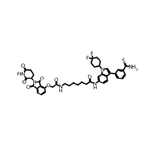 NC(=S)c1cccc(-c2cn(C3CCC(F)(F)CC3)c3cc(NC(=O)CCCCCCNC(=O)COc4cccc5c4C(=O)N(C4CCC(=O)NC4=O)C5=O)ccc23)c1